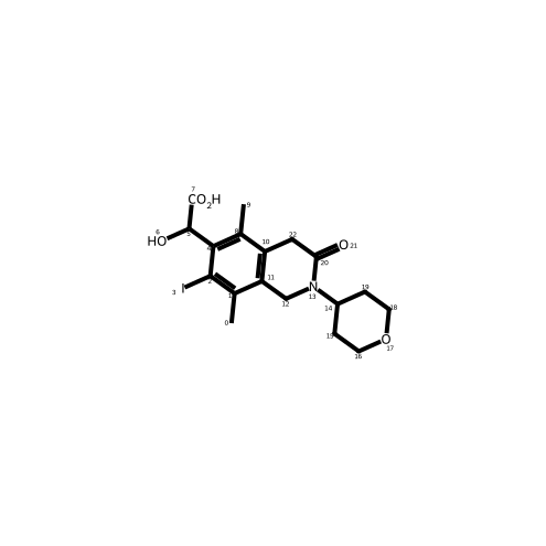 Cc1c(I)c(C(O)C(=O)O)c(C)c2c1CN(C1CCOCC1)C(=O)C2